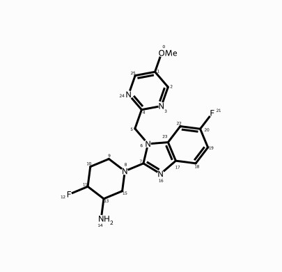 COc1cnc(Cn2c(N3CCC(F)C(N)C3)nc3ccc(F)cc32)nc1